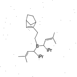 CC(C)=CC(B(CCC1=CC2CCC1C2)C(C=C(C)C)C(C)C)C(C)C